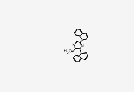 C=Cc1ncc(-c2cccc3ccccc23)nc1-c1cccc2ccccc12